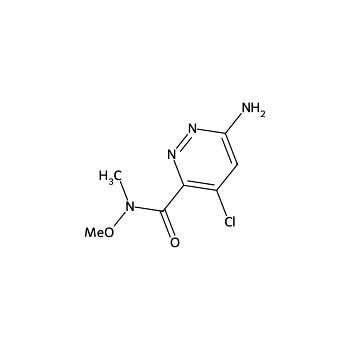 CON(C)C(=O)c1nnc(N)cc1Cl